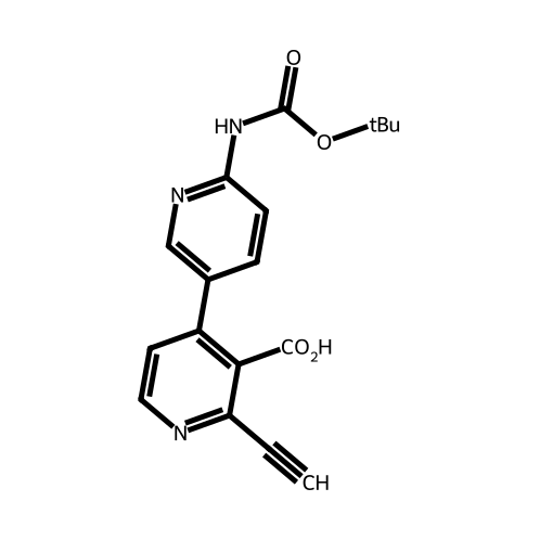 C#Cc1nccc(-c2ccc(NC(=O)OC(C)(C)C)nc2)c1C(=O)O